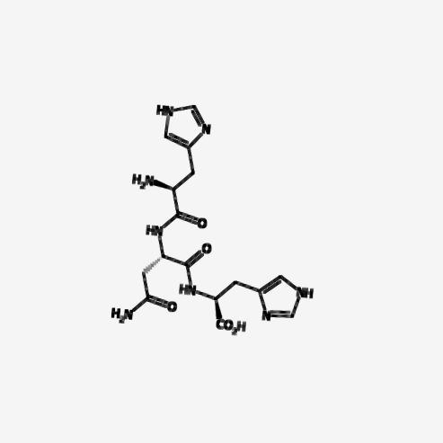 NC(=O)C[C@H](NC(=O)[C@@H](N)Cc1c[nH]cn1)C(=O)N[C@@H](Cc1c[nH]cn1)C(=O)O